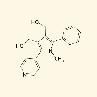 Cn1c(-c2ccccc2)c(CO)c(CO)c1-c1ccncc1